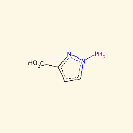 O=C(O)c1ccn(P)n1